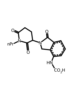 CCCN1C(=O)CCC(N2Cc3c(NC(=O)O)cccc3C2=O)C1=O